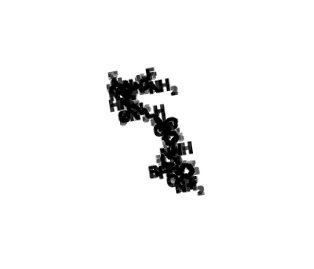 COc1nn(CCCCNS(=O)(=O)c2ccc(Nc3ncc(Br)c(Nc4cccc(F)c4C(N)=O)n3)cc2)cc1Nc1nc(N2CC(F)[C@H](N)C2)nc2c1ncn2C